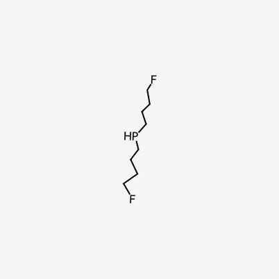 FCCCCPCCCCF